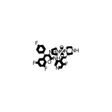 N[C@H](C(=O)Nc1cncc(F)c1CC[C@H]1CNCCN1S(=O)(=O)N1CCCC1)[C@@H](c1ccc(F)cc1)c1cc(F)cc(F)c1